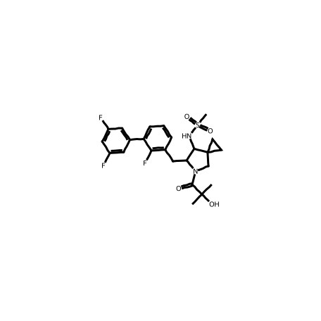 CC(C)(O)C(=O)N1CC2(CC2)C(NS(C)(=O)=O)C1Cc1cccc(-c2cc(F)cc(F)c2)c1F